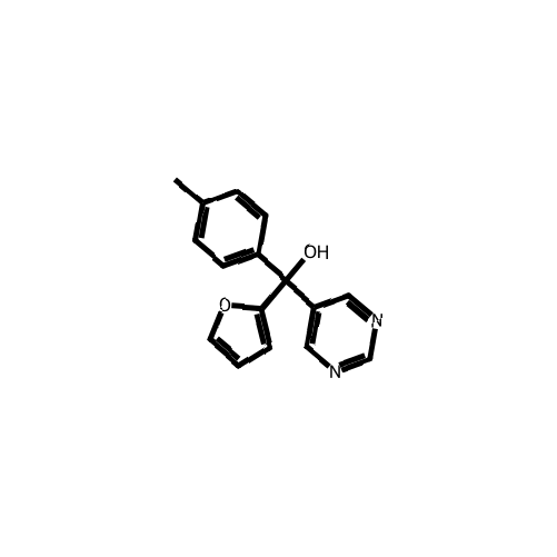 Cc1ccc(C(O)(c2cncnc2)c2ccco2)cc1